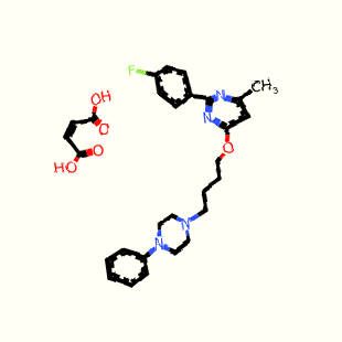 Cc1cc(OCCCCN2CCN(c3ccccc3)CC2)nc(-c2ccc(F)cc2)n1.O=C(O)/C=C\C(=O)O